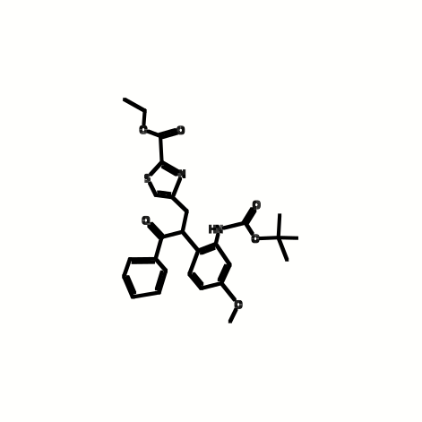 CCOC(=O)c1nc(CC(C(=O)c2ccccc2)c2ccc(OC)cc2NC(=O)OC(C)(C)C)cs1